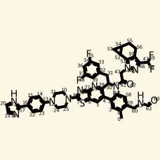 Cc1cc(-c2cc3sc(N4CCN(c5ccc(-c6ncc[nH]6)cc5)CC4)nc3nc2C(Cc2cc(F)cc(F)c2)NC(=O)Cn2nc(C(F)F)c3c2C2CC2CC3)ccc1CNC=O